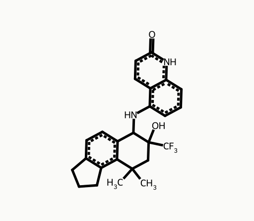 CC1(C)CC(O)(C(F)(F)F)C(Nc2cccc3[nH]c(=O)ccc23)c2ccc3c(c21)CCC3